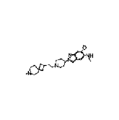 CNc1cc2cn(C3CCN(CCC4CC5(CCN(C)CC5)C4)CC3)nc2cc1OC